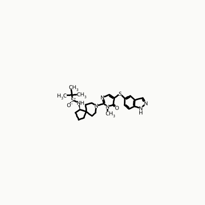 Cn1c(N2CCC3(CCC[C@H]3N[S@+]([O-])C(C)(C)C)CC2)ncc(Sc2ccc3[nH]ncc3c2)c1=O